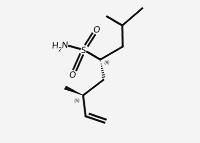 C=C[C@@H](C)C[C@@H](CC(C)C)S(N)(=O)=O